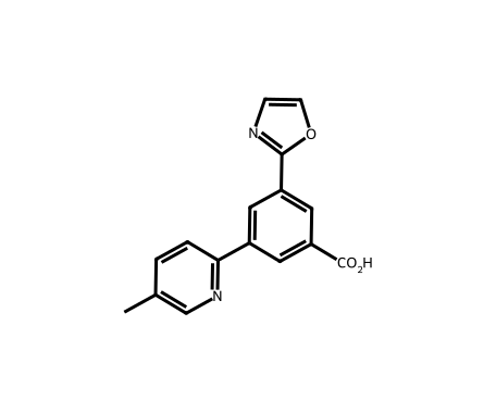 Cc1ccc(-c2cc(C(=O)O)cc(-c3ncco3)c2)nc1